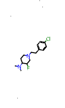 CN(C)C1CCN(CCc2ccc(Cl)cc2)CC1F